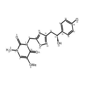 COc1cn(C)c(=O)n(Cc2nc(C[C@H](O)c3ccc(Cl)cc3)no2)c1=O